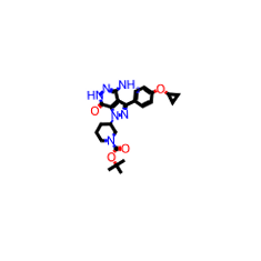 CC(C)(C)OC(=O)N1CCC[C@@H](n2nc(-c3ccc(OC4CC4)cc3)c3c(N)n[nH]c(=O)c32)C1